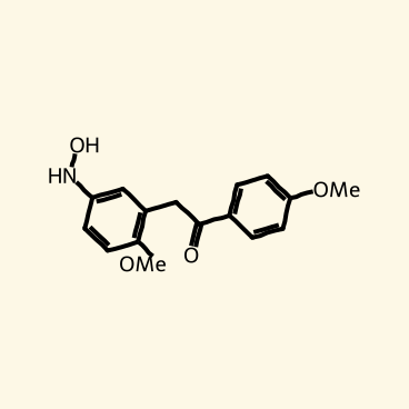 COc1ccc(C(=O)Cc2cc(NO)ccc2OC)cc1